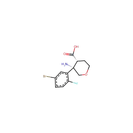 N[C@@]1(c2cc(Br)ccc2F)COCC[C@H]1C(=O)O